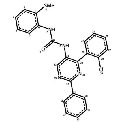 CSc1ccccc1NC(=O)Nc1cnc(-c2ccccc2)nc1-c1ccccc1Cl